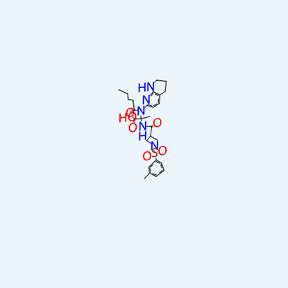 CCCCC(=O)N(c1ccc2c(n1)NCCC2)C(C)(NC(=O)C1CN(S(=O)(=O)c2cccc(C)c2)C1)C(=O)O